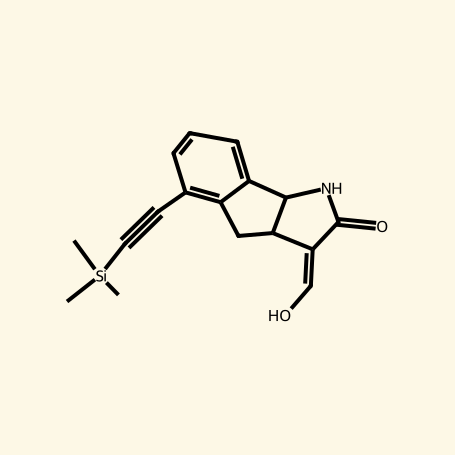 C[Si](C)(C)C#Cc1cccc2c1CC1C(=CO)C(=O)NC21